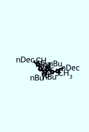 CCCCCCCCCCCCc1cc(-c2ccc(C3=C4C(=O)N(CC(CCCC)CCCC)C(c5ccc(-c6cc(CCCCCCCCCCCC)c(C)s6)s5)=C4C(=O)N3CC(CCCC)CCCC)s2)sc1C